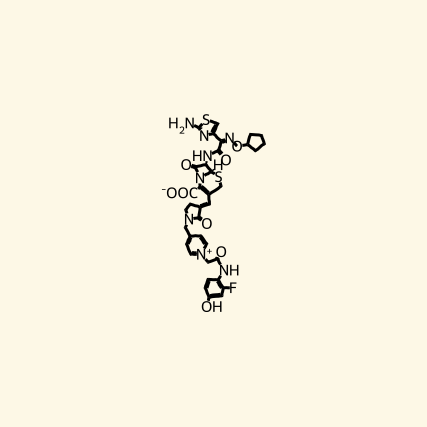 Nc1nc(/C(=N/OC2CCCC2)C(=O)N[C@@H]2C(=O)N3C(C(=O)[O-])=C(C=C4CCN(Cc5cc[n+](CC(=O)Nc6ccc(O)cc6F)cc5)C4=O)CS[C@H]23)cs1